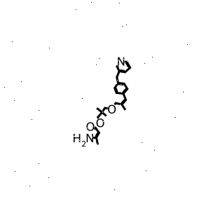 CC(N)=CC(=O)OCC(C)(C)COCC(C)=Cc1ccc(Cc2cccnc2)cc1